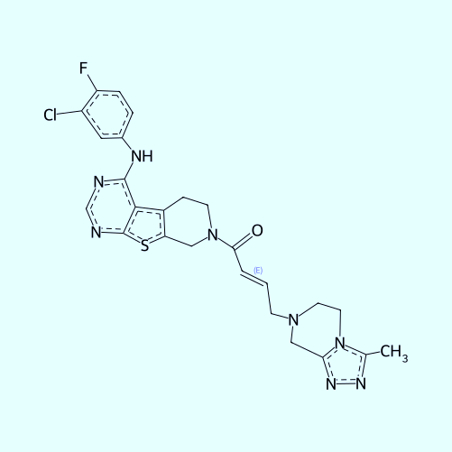 Cc1nnc2n1CCN(C/C=C/C(=O)N1CCc3c(sc4ncnc(Nc5ccc(F)c(Cl)c5)c34)C1)C2